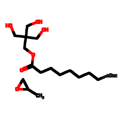 CC1CO1.CCCCCCCCCCCCCCCCCC(=O)OCC(CO)(CO)CO